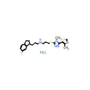 Cc1ncsc1-c1nnc(SCCCNCCCC2CCc3ccc(F)cc32)n1C.Cl